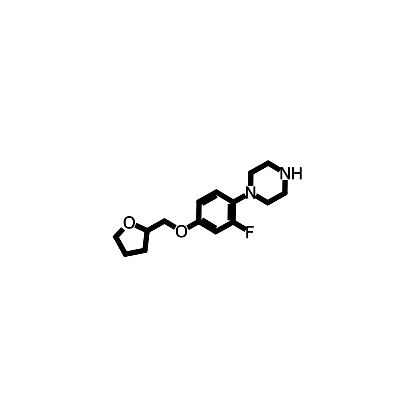 Fc1cc(OCC2CCCO2)ccc1N1CCNCC1